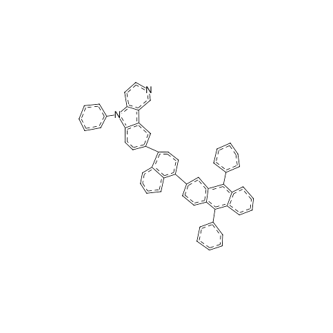 c1ccc(-c2c3ccccc3c(-c3ccccc3)c3cc(-c4ccc(-c5ccc6c(c5)c5cnccc5n6-c5ccccc5)c5ccccc45)ccc23)cc1